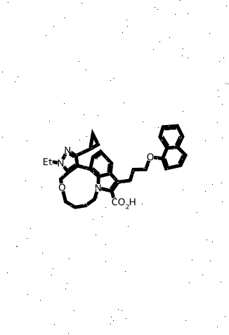 CCn1nc(C2CC2)c2c1COCCCCn1c(C(=O)O)c(CCCOc3cccc4ccccc34)c3cccc-2c31